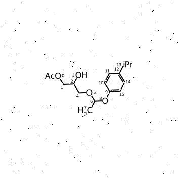 CC(=O)OCC(O)COC(C)Oc1ccc(C(C)C)cc1